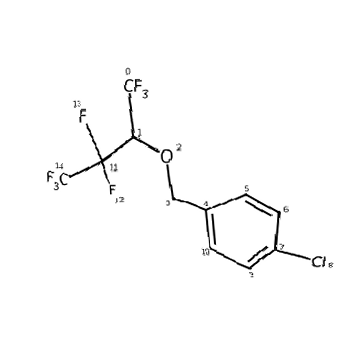 FC(F)(F)[C](OCc1ccc(Cl)cc1)C(F)(F)C(F)(F)F